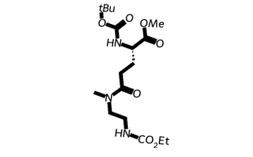 CCOC(=O)NCCN(C)C(=O)CC[C@H](NC(=O)OC(C)(C)C)C(=O)OC